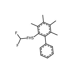 Cc1c(C)c(C)c(-c2ccccc2)c(S)c1C.FC(F)F